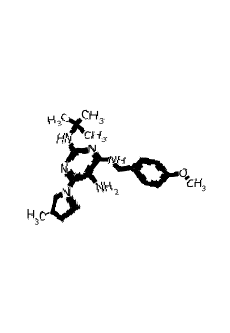 COc1ccc(CNc2nc(NC(C)(C)C)nc(N3CC[C@H](C)C3)c2N)cc1